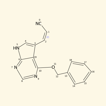 N#C/C=C\c1c[nH]c2ncnc(OCc3ccccc3)c12